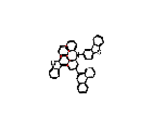 c1ccc(-c2ccc(-c3cc4ccccc4c4ccccc34)cc2N(c2ccc3sc4ccccc4c3c2)c2ccccc2-c2ccc3c(c2)oc2ccccc23)cc1